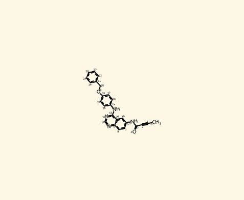 CC#CC(=O)Nc1ccc2ncnc(Nc3ccc(OCc4ccccc4)cc3)c2c1